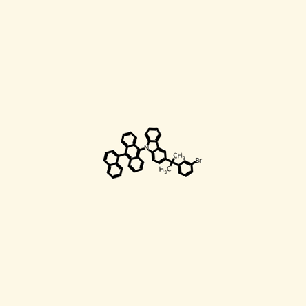 CC(C)(c1cccc(Br)c1)c1ccc2c(c1)c1ccccc1n2-c1c2ccccc2c(-c2cccc3ccccc23)c2ccccc12